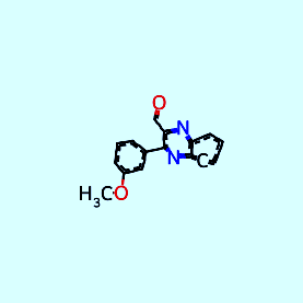 COc1cccc(-c2nc3ccccc3nc2C=O)c1